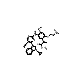 C=C(C(N)=O)c1cc(Nc2ncc(C#N)c(-c3cn(C4CC4)c4ccccc34)n2)c(OC)cc1OCCN(C)C